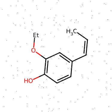 C/C=C\c1ccc(O)c(OCC)c1